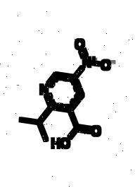 CC(C)c1ncc([N+](=O)[O-])cc1C(=O)O